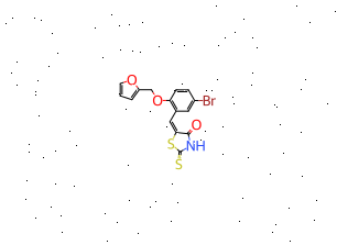 O=C1NC(=S)SC1=Cc1cc(Br)ccc1OCc1ccco1